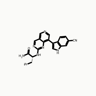 CC(C)C[C@@H](Nc1ncc2cncc(-c3c[nH]c4cc(C#N)ccc34)c2n1)C(N)=O